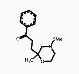 CSN1CCOC(C)(CCC(=O)c2ccccc2)C1